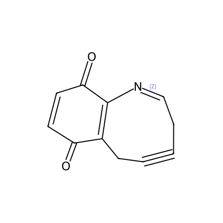 O=C1C=CC(=O)C2=C1CC#CC/C=N\2